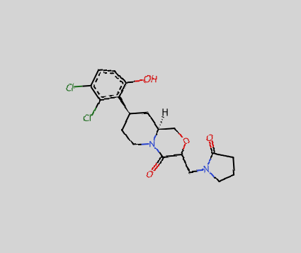 O=C1CCCN1CC1OC[C@@H]2C[C@H](c3c(O)ccc(Cl)c3Cl)CCN2C1=O